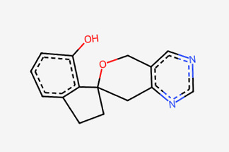 Oc1cccc2c1C1(CC2)Cc2ncncc2CO1